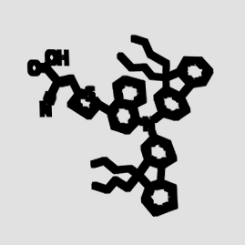 CCCCC1(CCCC)c2ccccc2-c2ccc(N(c3ccc4c(c3)C(CCCC)(CCCC)c3ccccc3-4)c3ccc(-c4ccc(/C=C(\C#N)C(=O)O)s4)c4ccccc34)cc21